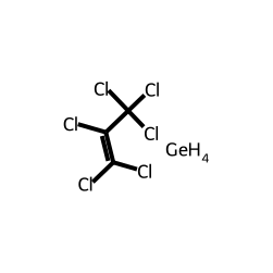 ClC(Cl)=C(Cl)C(Cl)(Cl)Cl.[GeH4]